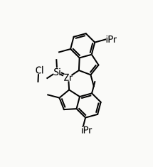 CC1=Cc2c(C(C)C)ccc(C)c2[CH]1[Zr]([CH]1C(C)=Cc2c(C(C)C)ccc(C)c21)=[Si](C)C.CCl